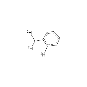 [2H][C]([2H])c1ccccc1[2H]